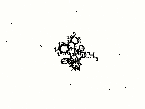 COC(=O)N(C1c2ccccc2-c2ccccc21)[C@@H](CC(=O)O)Cc1cccnc1